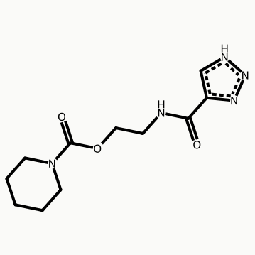 O=C(NCCOC(=O)N1CCCCC1)c1c[nH]nn1